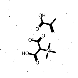 C=C(C)C(=O)O.C[N+](C)(C)C(C(=O)[O-])C(=O)O